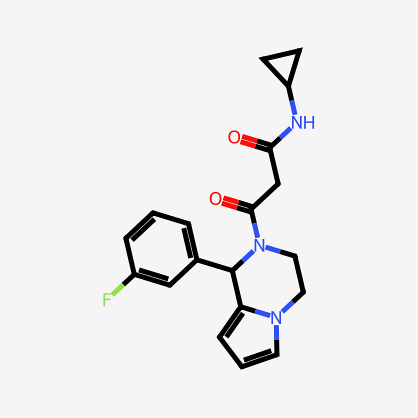 O=C(CC(=O)N1CCn2cccc2C1c1cccc(F)c1)NC1CC1